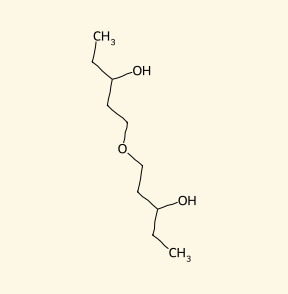 CCC(O)CCOCCC(O)CC